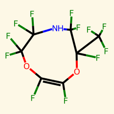 F/C1=C(\F)OC(F)(C(F)(F)F)C(F)(F)NC(F)(F)C(F)(F)O1